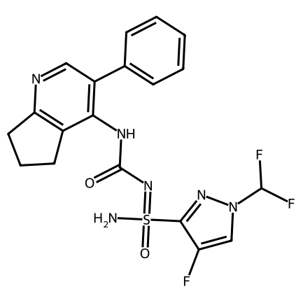 NS(=O)(=NC(=O)Nc1c(-c2ccccc2)cnc2c1CCC2)c1nn(C(F)F)cc1F